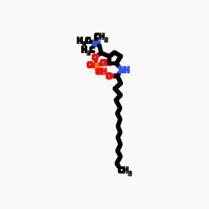 CCCCCCCCCCCCCCCC(=O)NC1CCC(C(C[N+](C)(C)C)OP(=O)(O)O)C1